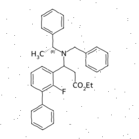 CCOC(=O)CC(c1cccc(-c2ccccc2)c1F)N(Cc1ccccc1)[C@H](C)c1ccccc1